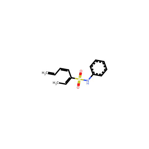 C=C/C=C\C(=C/C)S(=O)(=O)Nc1ccccc1